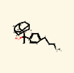 CC(O)(c1ccc(CCC[SiH3])cc1)C12CC3CC(CC(C3)C1)C2